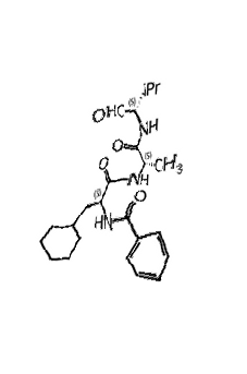 CC(C)[C@@H](C=O)NC(=O)[C@H](C)NC(=O)[C@H](CC1CCCCC1)NC(=O)c1ccccc1